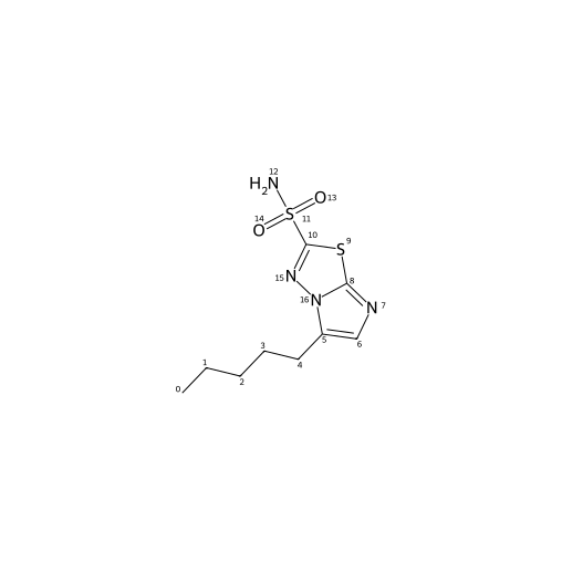 CCCCCc1cnc2sc(S(N)(=O)=O)nn12